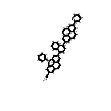 N#Cc1cc2ccc3cc(-c4ccc(-c5cc6ccc7cc(-c8ccccn8)cc8ccc(c5)c6c78)c5ccccc45)cc4c3c2c(c1)n4-c1ccccc1